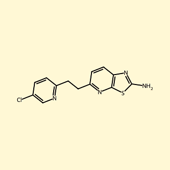 Nc1nc2ccc(CCc3ccc(Cl)cn3)nc2s1